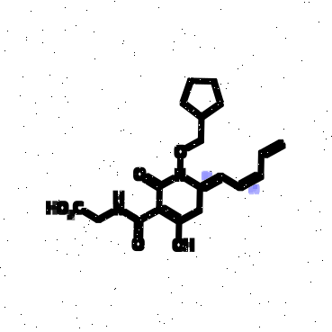 C=C/C=C\C=C1/CC(O)=C(C(=O)NCC(=O)O)C(=O)N1OCC1CCCC1